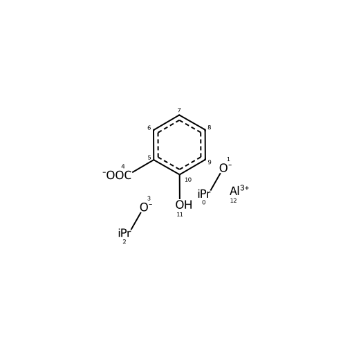 CC(C)[O-].CC(C)[O-].O=C([O-])c1ccccc1O.[Al+3]